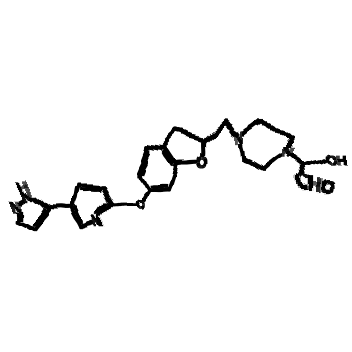 O=CC(O)N1CCN(CC2Cc3ccc(Oc4ccc(-c5ccn[nH]5)cn4)cc3O2)CC1